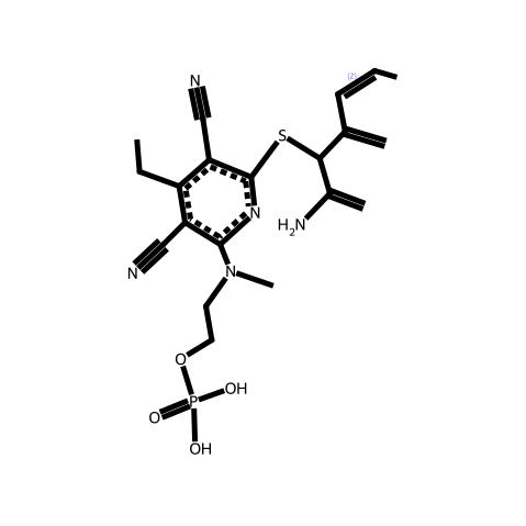 C=C(N)C(Sc1nc(N(C)CCOP(=O)(O)O)c(C#N)c(CC)c1C#N)C(=C)/C=C\C